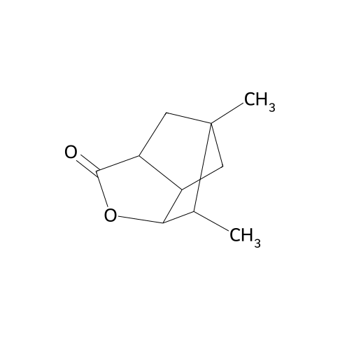 CC1C2OC(=O)C3CC1(C)CC32